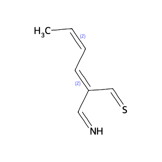 C/C=C\C=C(\C=N)C=S